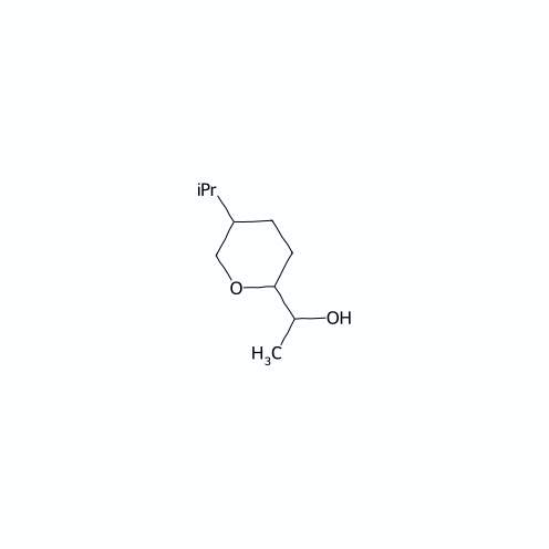 CC(C)C1CCC(C(C)O)OC1